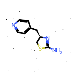 NC1=N[C@H](Cc2ccncc2)CS1